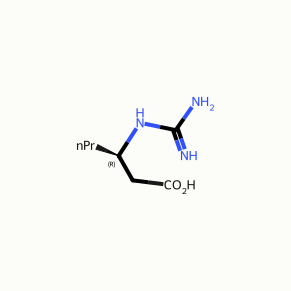 CCC[C@H](CC(=O)O)NC(=N)N